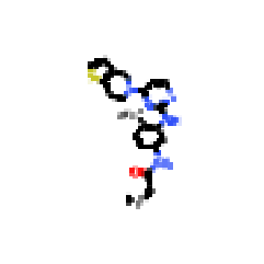 C=CC(=O)Nc1ccc(OC)c(Nc2nccc(N3CCc4sccc4C3)n2)c1